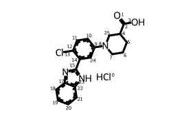 Cl.O=C(O)C1CCCN(c2ccc(Cl)c(-c3nc4ccccc4[nH]3)c2)C1